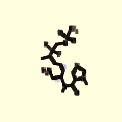 CC(=C/C=C\C(=C/N)N(C)C(=O)c1cncn1C)C(F)(F)COS(=O)(=O)C(F)(F)F